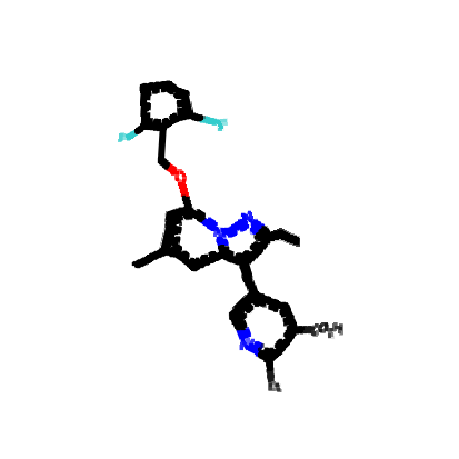 CCc1ncc(-c2c(C)nn3c(OCc4c(F)cccc4F)cc(C)cc23)cc1C(=O)O